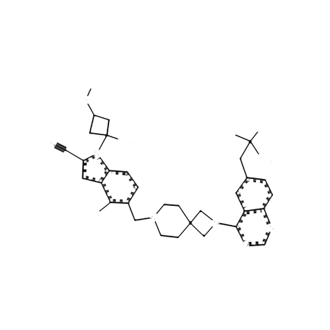 CNC1CC(C)(n2c(C#N)cc3c(C)c(CN4CCC5(CC4)CN(c4ncnc6ccc(CC(C)(C)F)cc46)C5)ccc32)C1